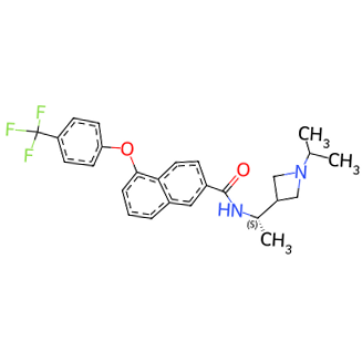 CC(C)N1CC([C@H](C)NC(=O)c2ccc3c(Oc4ccc(C(F)(F)F)cc4)cccc3c2)C1